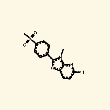 Cn1c(-c2ccc(S(C)(=O)=O)cc2)nc2ccc(Cl)nc21